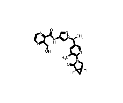 Cc1cc([C@H](C)n2cc(NC(=O)c3nccnc3CO)cn2)cnc1N1C[C@H]2C[C@H]2C1=O